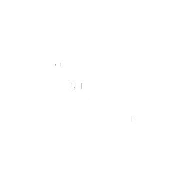 O=CNCc1ccc(F)cc1